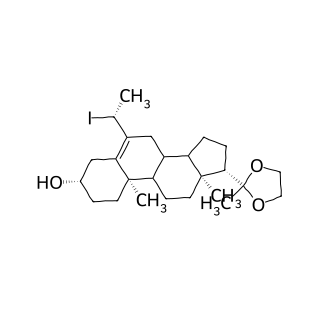 C[C@@H](I)C1=C2C[C@@H](O)CC[C@]2(C)C2CC[C@@]3(C)C(CC[C@@H]3C3(C)OCCO3)C2C1